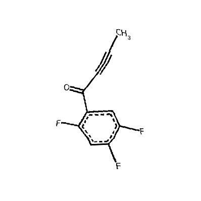 CC#CC(=O)c1cc(F)c(F)cc1F